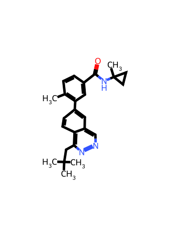 Cc1ccc(C(=O)NC2(C)CC2)cc1-c1ccc2c(CC(C)(C)C)nncc2c1